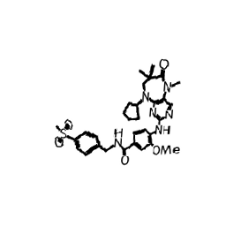 COc1cc(C(=O)NCc2ccc(S(C)(=O)=O)cc2)ccc1Nc1ncc2c(n1)N(C1CCCC1)CC(C)(C)C(=O)N2C